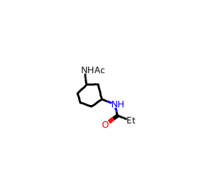 CCC(=O)NC1CCCC(NC(C)=O)C1